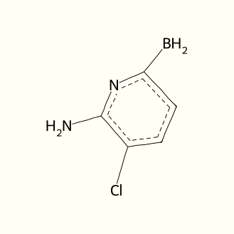 Bc1ccc(Cl)c(N)n1